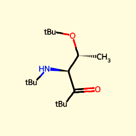 C[C@@H](OC(C)(C)C)[C@H](NC(C)(C)C)C(=O)C(C)(C)C